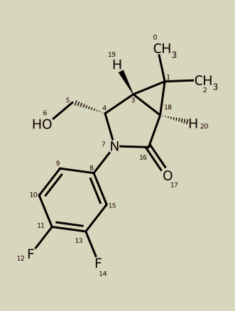 CC1(C)[C@H]2[C@@H](CO)N(c3ccc(F)c(F)c3)C(=O)[C@@H]21